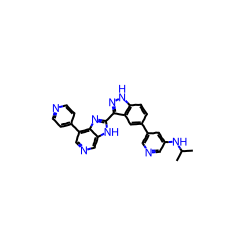 CC(C)Nc1cncc(-c2ccc3[nH]nc(-c4nc5c(-c6ccncc6)cncc5[nH]4)c3c2)c1